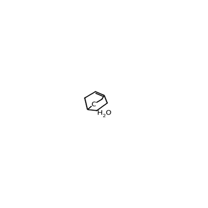 C1=C2CCC(C1)CC2.O